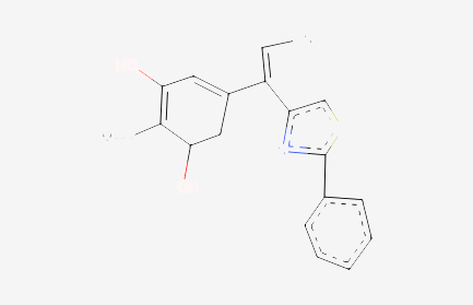 COC1=C(O)C=C(/C(=C/C#N)c2csc(-c3ccccc3)n2)CC1O